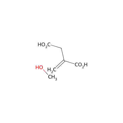 C=C(CC(=O)O)C(=O)O.CO